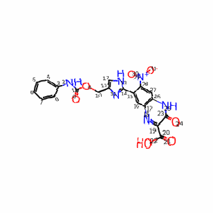 O=C(Nc1ccccc1)OCc1c[nH]c(-c2cc3nc(C(=O)O)c(=O)[nH]c3cc2[N+](=O)[O-])n1